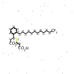 O=C(O)CCSC(CC(=O)O)c1ccccc1CCCCCCCCCCCC(F)(F)F